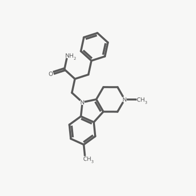 Cc1ccc2c(c1)c1c(n2CC(Cc2ccccc2)C(N)=O)CCN(C)C1